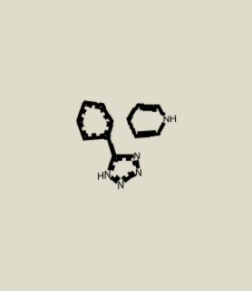 C1=CNC=CC1.c1ccc(-c2nnn[nH]2)cc1